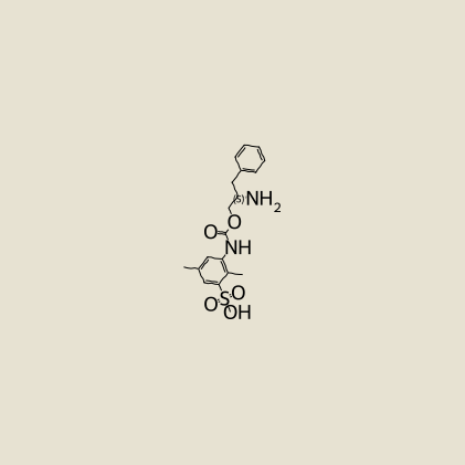 Cc1cc(NC(=O)OC[C@@H](N)Cc2ccccc2)c(C)c(S(=O)(=O)O)c1